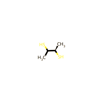 CC(S)[C@@H](C)S